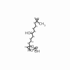 CC1(CCCCC(O)CCCCC2(OP(=O)(O)O)CC2)CC1